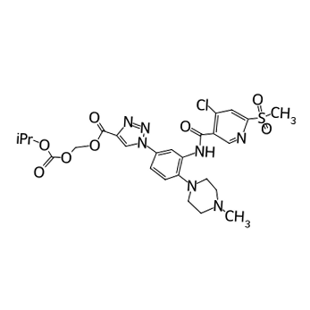 CC(C)OC(=O)OCOC(=O)c1cn(-c2ccc(N3CCN(C)CC3)c(NC(=O)c3cnc(S(C)(=O)=O)cc3Cl)c2)nn1